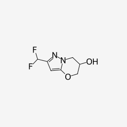 OC1COc2cc(C(F)F)nn2C1